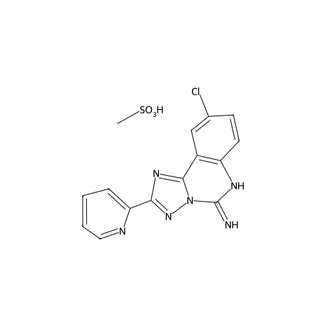 CS(=O)(=O)O.N=c1[nH]c2ccc(Cl)cc2c2nc(-c3ccccn3)nn12